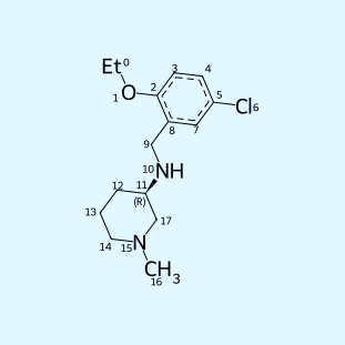 CCOc1ccc(Cl)cc1CN[C@@H]1CCCN(C)C1